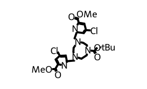 COC(=O)c1cc(Cl)cc(CN2CCN(Cc3cc(Cl)cc(C(=O)OC)n3)CCN(C(=O)OC(C)(C)C)CC2)n1